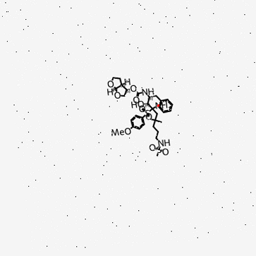 COc1ccc(S(=O)(=O)C(N)(CC(C)(C)CCCNS(C)(=O)=O)[C@H](O)[C@H](Cc2ccccc2)NC(=O)O[C@@H]2CO[C@@H]3OCC[C@@H]32)cc1